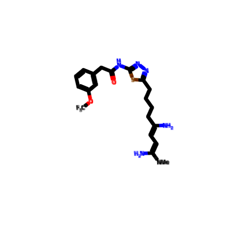 CN/C(N)=C/C=C(\N)CCCCc1nnc(NC(=O)Cc2cccc(OC(F)(F)F)c2)s1